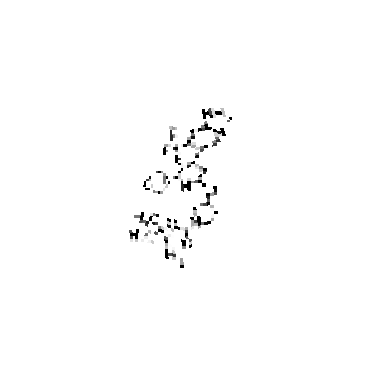 CC(C)(C)OC(=O)N1CCC(Oc2cc(-c3cnc(N)cc3C(F)(F)F)nc(N3CCOCC3)n2)C1